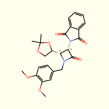 COc1ccc(CN2C(=O)[C@@H](N3C(=O)c4ccccc4C3=O)[C@H]2C2COC(C)(C)O2)cc1OC